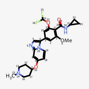 COc1cc(-c2cnc3cc(OC4CCN(C)CC4)ccn23)cc(OC(F)F)c1C(=O)NC1CC1